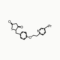 CC(C)c1ccc(CCOc2ccc(CC3SC(=O)CC3=O)cc2)nc1